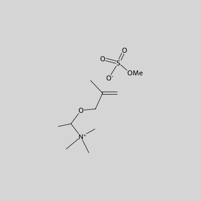 C=C(C)COC(C)[N+](C)(C)C.COS(=O)(=O)[O-]